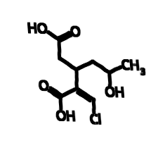 CC(O)CC(CC(=O)O)C(=CCl)C(=O)O